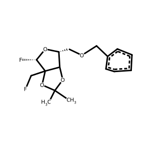 CC1(C)OC2[C@@H](COCc3ccccc3)O[C@@H](F)C2(CF)O1